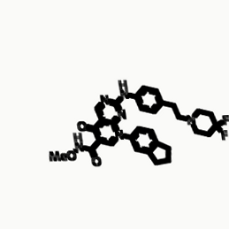 CONC(=O)c1cn(-c2ccc3c(c2)CCC3)c2nc(Nc3ccc(CCN4CCC(F)(F)CC4)cc3)ncc2c1=O